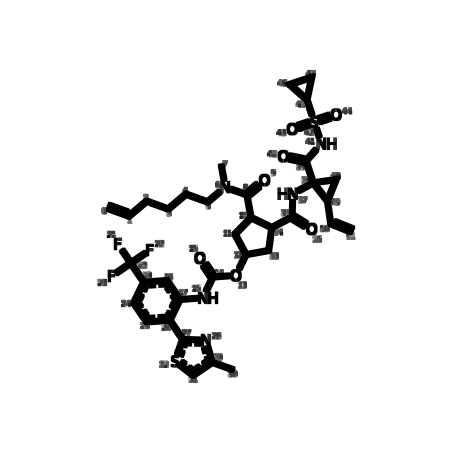 C=CCCCCN(C)C(=O)C1CC(OC(=O)Nc2cc(C(F)(F)F)ccc2-c2nc(C)cs2)CC1C(=O)NC1(C(=O)NS(=O)(=O)C2CC2)CC1C=C